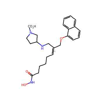 O=C(CCCC/C=C(\CNC1CCN(C(=O)O)C1)COc1cccc2ccccc12)NO